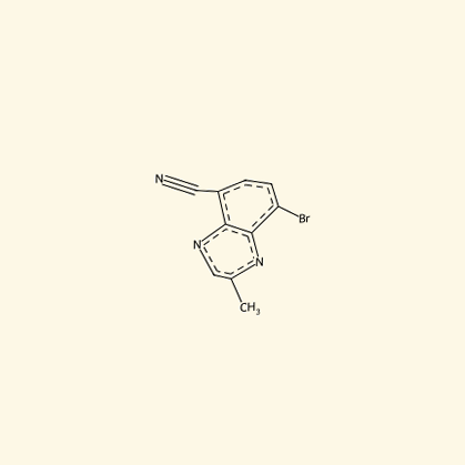 Cc1cnc2c(C#N)ccc(Br)c2n1